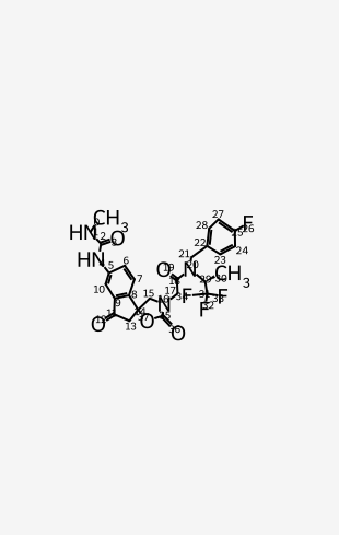 CNC(=O)Nc1ccc2c(c1)C(=O)CC21CN(CC(=O)N(Cc2ccc(F)cc2)[C@@H](C)C(F)(F)F)C(=O)O1